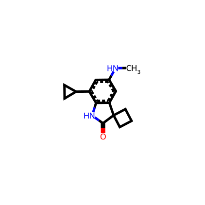 CNc1cc(C2CC2)c2c(c1)C1(CCC1)C(=O)N2